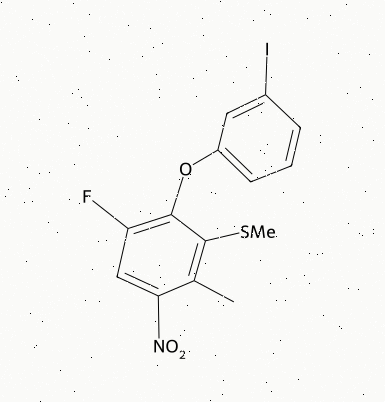 CSc1c(C)c([N+](=O)[O-])cc(F)c1Oc1cccc(I)c1